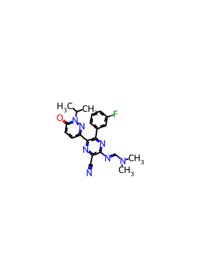 CC(C)n1nc(-c2nc(C#N)c(N=CN(C)C)nc2-c2cccc(F)c2)ccc1=O